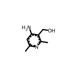 Cc1cc(N)c(CO)c(C)n1